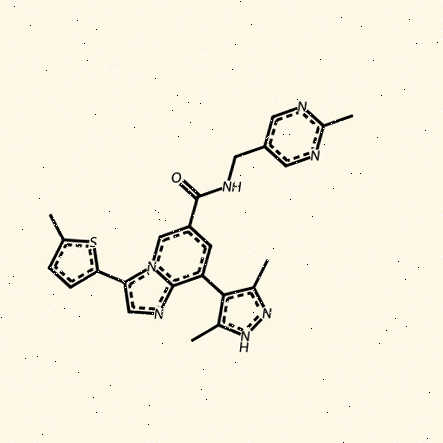 Cc1ncc(CNC(=O)c2cc(-c3c(C)n[nH]c3C)c3ncc(-c4ccc(C)s4)n3c2)cn1